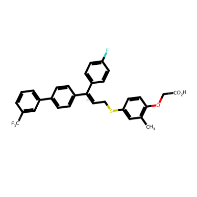 Cc1cc(SC/C=C(\c2ccc(F)cc2)c2ccc(-c3cccc(C(F)(F)F)c3)cc2)ccc1OCC(=O)O